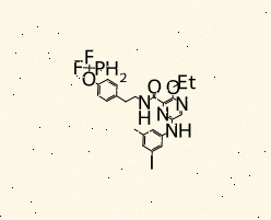 CCOc1ncc(Nc2cc(C)cc(I)c2)nc1C(=O)NCCc1ccc(OC(F)(F)P)cc1